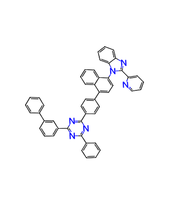 c1ccc(-c2cccc(-c3nc(-c4ccccc4)nc(-c4ccc(-c5ccc(-n6c(-c7ccccn7)nc7ccccc76)c6ccccc56)cc4)n3)c2)cc1